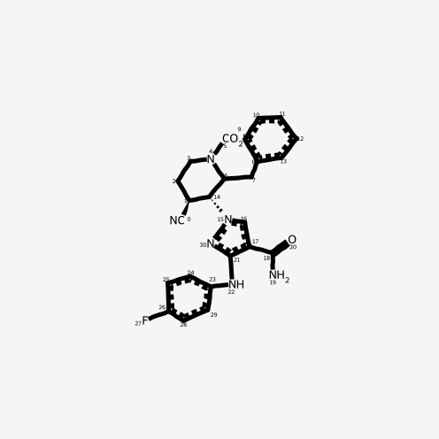 N#C[C@H]1CCN(C(=O)O)C(Cc2ccccc2)[C@@H]1n1cc(C(N)=O)c(Nc2ccc(F)cc2)n1